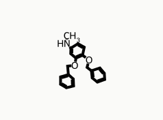 CNc1ccc(OCc2ccccc2)c(OCc2ccccc2)c1